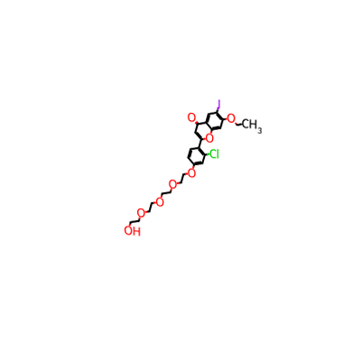 CCOc1cc2oc(-c3ccc(OCCOCCOCCOCCO)cc3Cl)cc(=O)c2cc1I